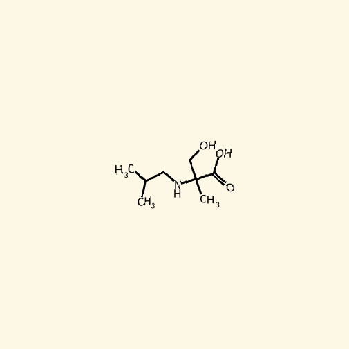 CC(C)CNC(C)(CO)C(=O)O